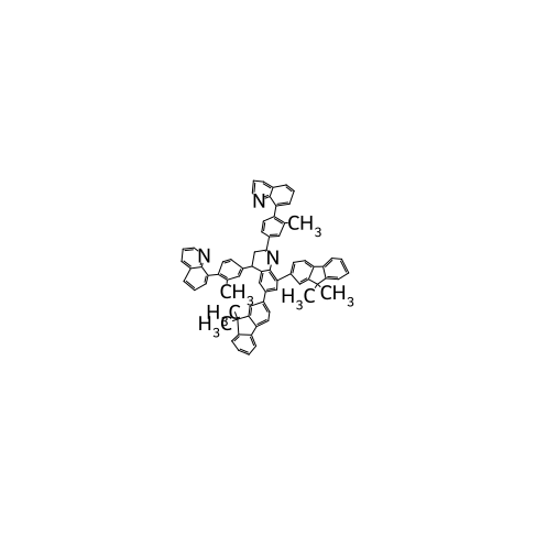 Cc1cc(C2=Nc3c(-c4ccc5c(c4)C(C)(C)c4ccccc4-5)cc(-c4ccc5c(c4)C(C)(C)c4ccccc4-5)cc3C(c3ccc(-c4cccc5cccnc45)c(C)c3)C2)ccc1-c1cccc2cccnc12